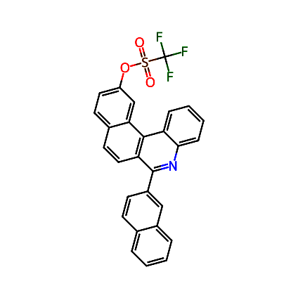 O=S(=O)(Oc1ccc2ccc3c(-c4ccc5ccccc5c4)nc4ccccc4c3c2c1)C(F)(F)F